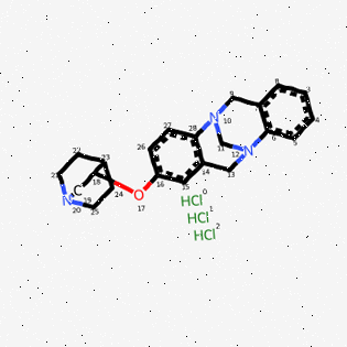 Cl.Cl.Cl.c1ccc2c(c1)CN1CN2Cc2cc(OC3CN4CCC3CC4)ccc21